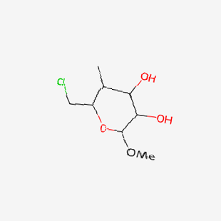 COC1OC(CCl)C(C)C(O)C1O